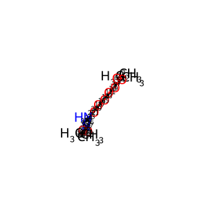 CC(C)(C)OC(=O)CCOCCOCCOCCOCCOCCNC1CCN(C(=O)OC(C)(C)C)CC1